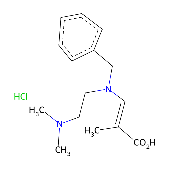 CC(=CN(CCN(C)C)Cc1ccccc1)C(=O)O.Cl